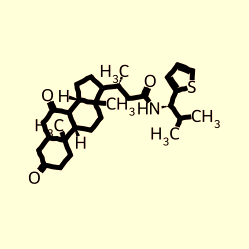 CC(C)[C@H](NC(=O)C[C@@H](C)C1CC[C@H]2C3C(=O)CC4CC(=O)CCC4(C)[C@H]3CCC12C)c1cccs1